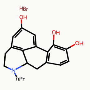 Br.CCCN1CCc2cc(O)cc3c2C1Cc1ccc(O)c(O)c1-3